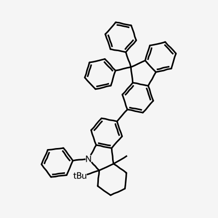 CC(C)(C)C12CCCCC1(C)c1cc(-c3ccc4c(c3)C(c3ccccc3)(c3ccccc3)c3ccccc3-4)ccc1N2c1ccccc1